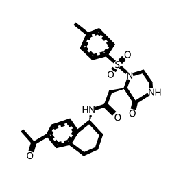 CC(=O)c1ccc2c(c1)CCC[C@H]2NC(=O)C[C@@H]1C(=O)NCCN1S(=O)(=O)c1ccc(C)cc1